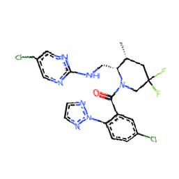 C[C@@H]1CC(F)(F)CN(C(=O)c2cc(Cl)ccc2-n2nccn2)[C@@H]1CNc1ncc(Cl)cn1